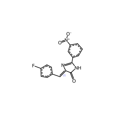 O=C1NC(c2cccc([N+](=O)[O-])c2)=N/C1=C\c1ccc(F)cc1